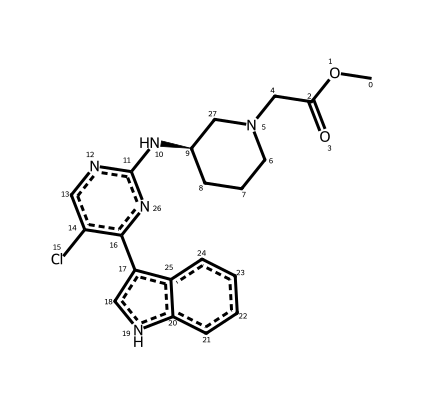 COC(=O)CN1CCC[C@@H](Nc2ncc(Cl)c(-c3c[nH]c4ccccc34)n2)C1